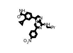 CC(C)CNc1nc(-c2ccc([N+](=O)[O-])cc2)cn2c(-c3ccc(C(N)=O)c(C4CC4)c3)cnc12